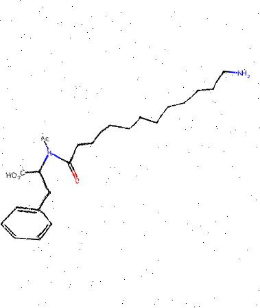 CC(=O)N(C(=O)CCCCCCCCCCCN)C(Cc1ccccc1)C(=O)O